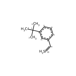 CC(C)(C)c1cccc(C=[SiH2])c1